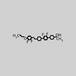 C=CCCOc1ccc(CCC2CCC(c3ccc(C4CCC(C(C)O)CC4)c(F)c3F)CC2)c(F)c1F